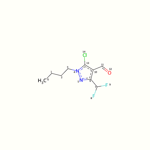 CCCCn1nc(C(F)F)c(C=O)c1Cl